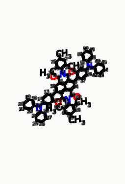 Cc1cc(C)c(N2C(=O)c3cc(-c4ccc(N(c5ccccc5)c5ccccc5)cc4)c4c5c(cc(-c6ccc(N(c7ccccc7)c7ccccc7)cc6)c(c35)C2=O)C(=O)N(c2c(C)cc(C)cc2C)C4=O)c(C)c1